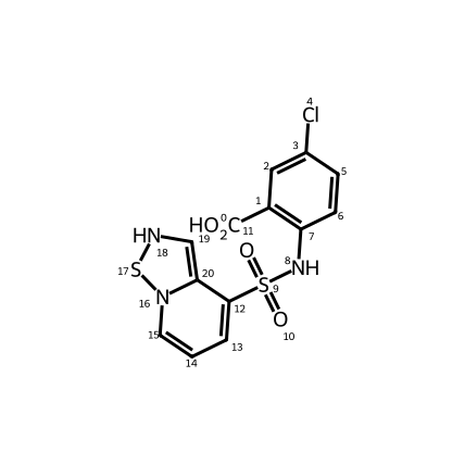 O=C(O)c1cc(Cl)ccc1NS(=O)(=O)C1=CC=CN2SNC=C12